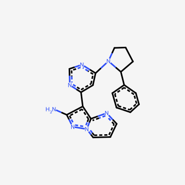 Nc1nn2cccnc2c1-c1cc(N2CCCC2c2ccccc2)ncn1